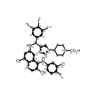 N#Cc1cnc2c(Cl)cc(NC(c3cc(F)c(F)c(F)c3)c3cn(C4CCN(C(=O)O)CC4)nn3)cc2c1Nc1ccc(F)c(Cl)c1